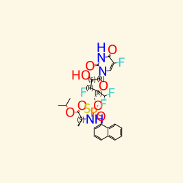 CC(C)OC(=O)[C@H](C)NP(=S)(OC[C@@]1(C(F)F)O[C@@H](n2cc(F)c(=O)[nH]c2=O)[C@H](O)[C@H]1F)Oc1cccc2ccccc12